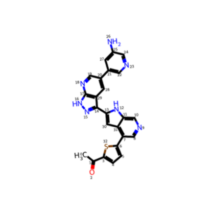 CC(=O)c1ccc(-c2cncc3[nH]c(-c4n[nH]c5ncc(-c6cncc(N)c6)cc45)cc23)s1